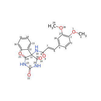 COc1ccc(/C=C/C(=O)NC2(c3ccccc3)C(=O)NC(=O)NC2=O)cc1OC